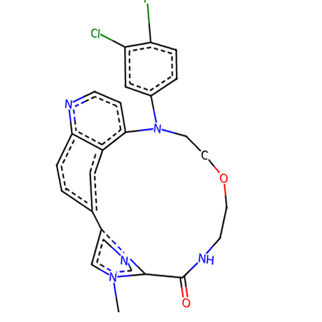 Cn1cc2nc1C(=O)NCCOCCN(c1ccc(F)c(Cl)c1)c1ccnc3ccc-2cc13